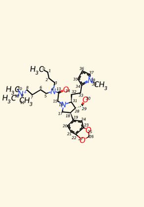 CCCCN(CCCC[N+](C)(C)C)C(=O)CN1C[C@H](c2ccc3c(c2)OCO3)[C@@H](C=O)[C@@H]1CCc1cccn1C